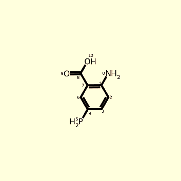 Nc1ccc(P)cc1C(=O)O